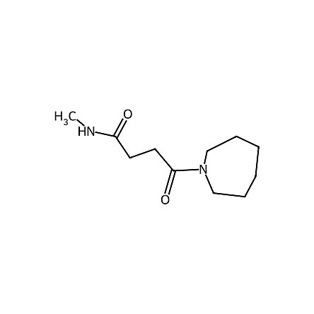 CNC(=O)CCC(=O)N1CCCCCC1